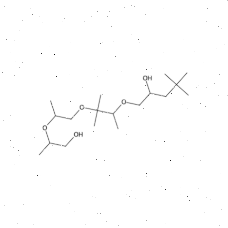 CC(CO)OC(C)COC(C)(C)C(C)OCC(O)CC(C)(C)C